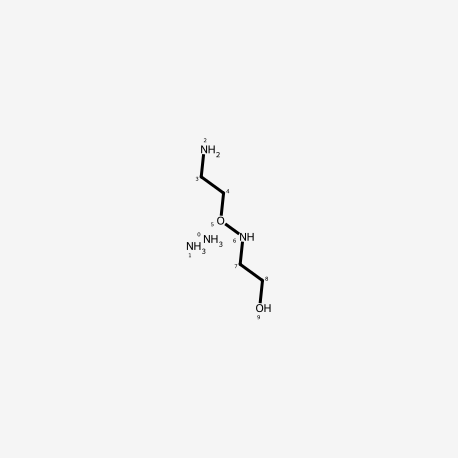 N.N.NCCONCCO